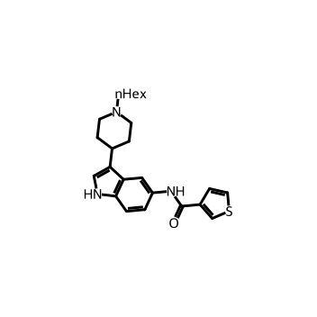 CCCCCCN1CCC(c2c[nH]c3ccc(NC(=O)c4ccsc4)cc23)CC1